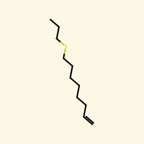 C=CCCCCCCS[CH]CC